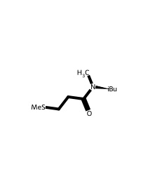 CC[C@H](C)N(C)C(=O)CCSC